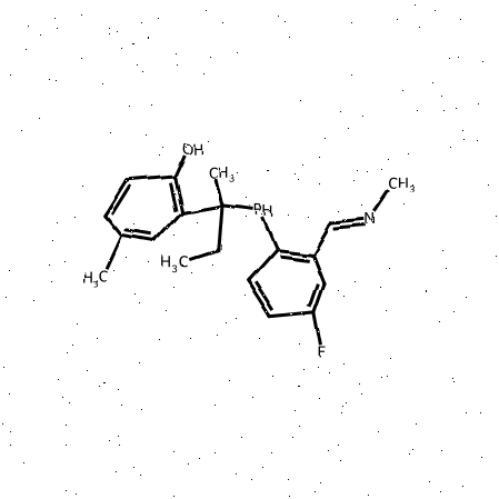 CCC(C)(Pc1ccc(F)cc1/C=N/C)c1cc(C)ccc1O